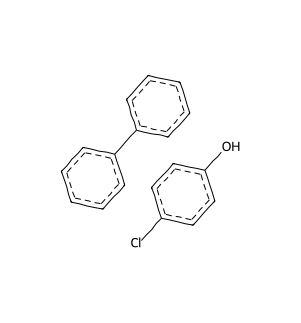 Oc1ccc(Cl)cc1.c1ccc(-c2ccccc2)cc1